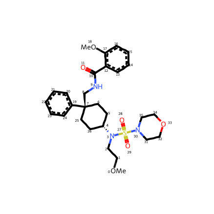 COCCN([C@H]1CC[C@@](CNC(=O)c2ccccc2OC)(c2ccccc2)CC1)S(=O)(=O)N1CCOCC1